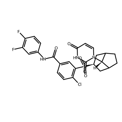 O=C(Nc1ccc(F)c(F)c1)c1ccc(Cl)c(S(=O)(=O)[C@H]2CC3CCC(C2)[C@@H]3n2ccc(=O)[nH]c2=O)c1